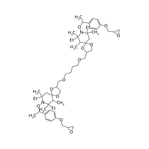 CCC1(C)CC2(OCC(COCCCCOCC3COC4(CC(C)(CC)N(OC(C)c5ccc(OCC6CO6)cc5)C(C)(CC)C4C)O3)O2)C(C)C(C)(CC)N1OC(C)c1ccc(OCC2CO2)cc1